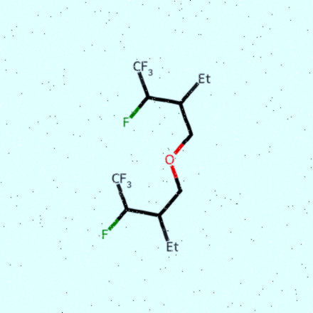 CCC(COCC(CC)C(F)C(F)(F)F)C(F)C(F)(F)F